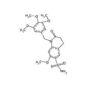 COc1cc2c(cc1S(N)(=O)=O)CCC(=O)N2Cc1cc(OC)c(OC)c(OC)c1